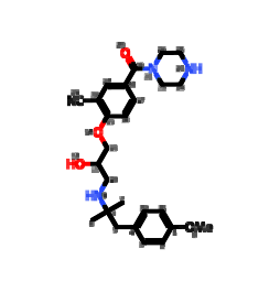 COc1ccc(CC(C)(C)NCC(O)COc2ccc(C(=O)N3CCNCC3)cc2C#N)cc1